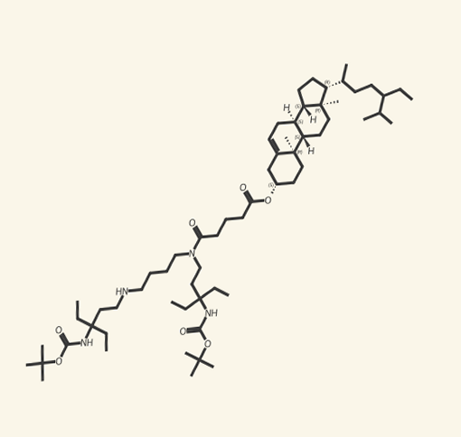 CCC(CCC(C)[C@H]1CC[C@H]2[C@@H]3CC=C4C[C@@H](OC(=O)CCCC(=O)N(CCCCNCCC(CC)(CC)NC(=O)OC(C)(C)C)CCC(CC)(CC)NC(=O)OC(C)(C)C)CC[C@]4(C)[C@H]3CC[C@]12C)C(C)C